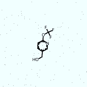 OCc1ccc(OC(F)(F)F)nc1